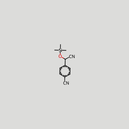 C[Si](C)(C)OC(C#N)c1ccc(C#N)cc1